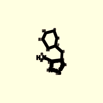 Nc1nscc1CC1CCCCC1